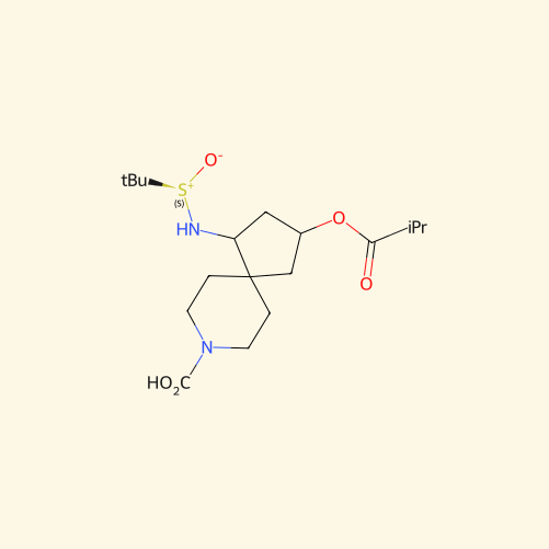 CC(C)C(=O)OC1CC(N[S@+]([O-])C(C)(C)C)C2(CCN(C(=O)O)CC2)C1